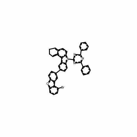 Brc1cccc2oc3ccc(-c4ccc5c(c4)c4c6c(ccc4n5-c4nc(-c5ccccc5)nc(-c5ccccc5)n4)=CCCC=6)cc3c12